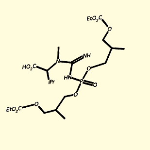 CCOC(=O)OCC(C)COP(=O)(NC(=N)N(C)C(C(=O)O)C(C)C)OCC(C)COC(=O)OCC